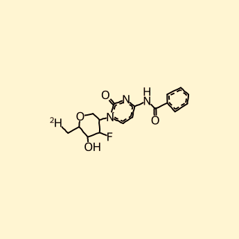 [2H]CC1OCC(n2ccc(NC(=O)c3ccccc3)nc2=O)C(F)C1O